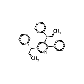 C=C[C@H](c1ccccc1)c1cnc(-c2ccccc2)c([C@H](C=C)c2ccccc2)c1